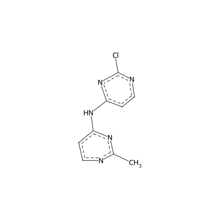 Cc1nccc(Nc2ccnc(Cl)n2)n1